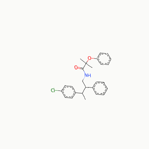 CC(c1ccc(Cl)cc1)C(CNC(=O)C(C)(C)Oc1ccccc1)c1ccccc1